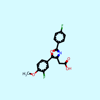 COc1ccc(-c2oc(-c3ccc(F)cc3)nc2CC(=O)O)cc1F